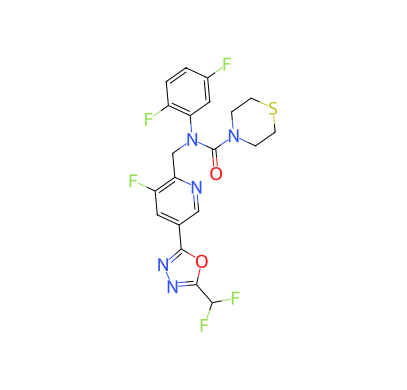 O=C(N1CCSCC1)N(Cc1ncc(-c2nnc(C(F)F)o2)cc1F)c1cc(F)ccc1F